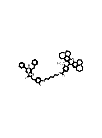 O=C(NCCCCCCOc1ccc(Cc2nc3c(Cc4ccccc4)[nH]c(-c4ccccc4)cn-3c2=O)cc1F)c1ccc(C2=c3cc4c5c(c3Oc3c2cc2c6c3CCCN6CCCC2)CCC[N+]=5CCCC4)c(C(=O)O)c1